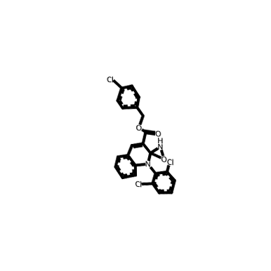 O=C(OCc1ccc(Cl)cc1)C1=Cc2ccccc2N(c2c(Cl)cccc2Cl)C12NO2